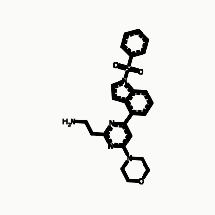 NCCc1nc(-c2cccc3c2ccn3S(=O)(=O)c2ccccc2)cc(N2CCOCC2)n1